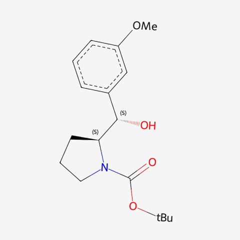 COc1cccc([C@H](O)[C@@H]2CCCN2C(=O)OC(C)(C)C)c1